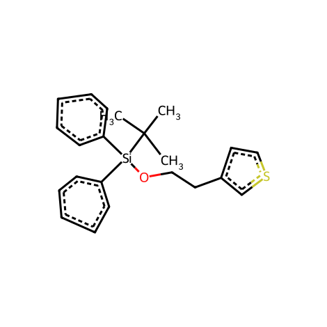 CC(C)(C)[Si](OCCc1ccsc1)(c1ccccc1)c1ccccc1